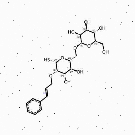 OC[C@H]1O[C@@H](OC[C@H]2O[C@@H](S)[C@@H](OC/C=C/c3ccccc3)[C@@H](O)[C@@H]2O)[C@@H](O)[C@@H](O)[C@@H]1O